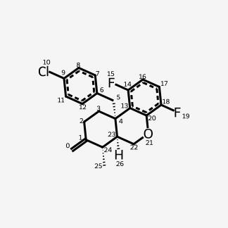 C=C1CC[C@@]2(Cc3ccc(Cl)cc3)c3c(F)ccc(F)c3OC[C@H]2[C@@H]1C